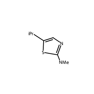 CNc1ncc(C(C)C)s1